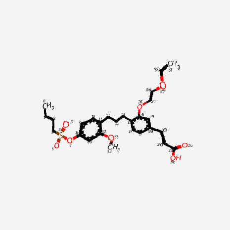 CCCCS(=O)(=O)Oc1ccc(CCCc2ccc(CCC(=O)O)cc2OCCOCC)c(OC)c1